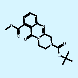 COC(=O)c1cccc2nc3n(c(=O)c12)CCN(C(=O)OC(C)(C)C)C3